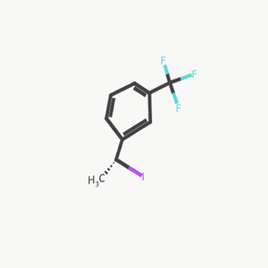 C[C@@H](I)c1cccc(C(F)(F)F)c1